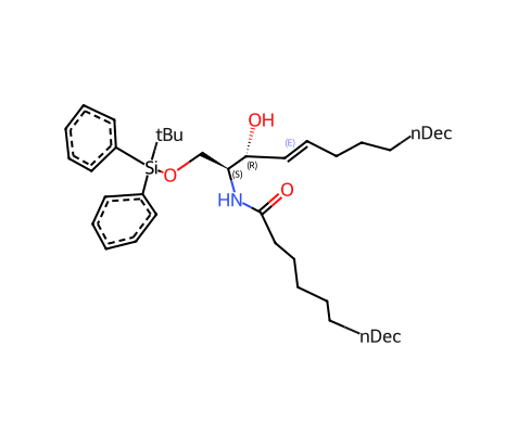 CCCCCCCCCCCCC/C=C/[C@@H](O)[C@H](CO[Si](c1ccccc1)(c1ccccc1)C(C)(C)C)NC(=O)CCCCCCCCCCCCCCC